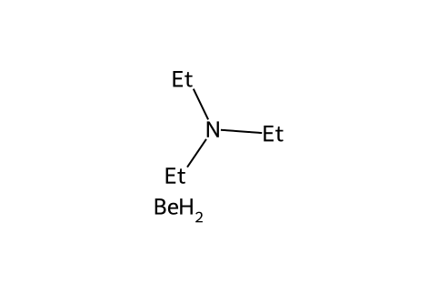 CCN(CC)CC.[BeH2]